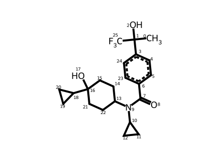 CC(O)(c1ccc(C(=O)N(C2CC2)C2CCC(O)(C3CC3)CC2)cc1)C(F)(F)F